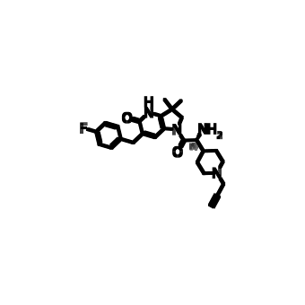 C#CCN1CCC([C@H](N)C(=O)N2CC(C)(C)c3[nH]c(=O)c(Cc4ccc(F)cc4)cc32)CC1